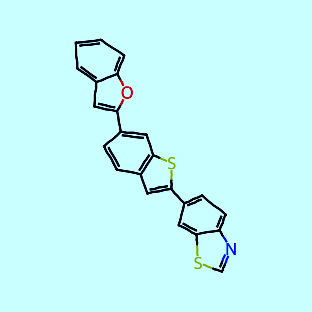 c1ccc2oc(-c3ccc4cc(-c5ccc6ncsc6c5)sc4c3)cc2c1